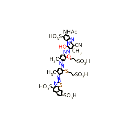 CC(=O)Nc1cc2nc3c(C#N)c(C)c(N=Nc4cc(C)c(N=Nc5cc(C)c(N=Nc6nc7c(S(=O)(=O)O)cc8ccc(S(=O)(=O)O)cc8c7s6)cc5SCCCS(=O)(=O)O)cc4OCCCS(=O)(=O)O)c(O)n3c2cc1S(=O)(=O)O